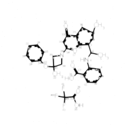 Cc1cc(C(C)Nc2ccccc2C(=O)O)c2oc(N3CC(C)(Oc4ccccc4)C3)cc(=O)c2c1.O=C(O)C(F)(F)F